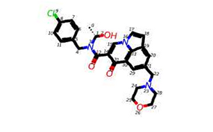 C[C@H](O)N(Cc1ccc(Cl)cc1)C(=O)c1cn2ccc3cc(CN4CCOCC4)cc(c1=O)c32